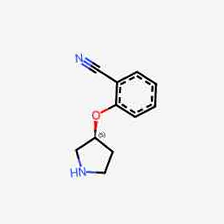 N#Cc1ccccc1O[C@H]1CCNC1